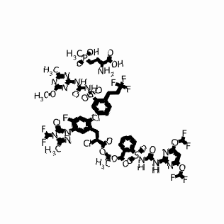 CCOC(=O)C(Cl)Cc1cc(-n2nc(C)n(C(F)F)c2=O)c(F)cc1Cl.COc1nc(C)nc(NC(=O)NS(=O)(=O)c2ccccc2CCC(F)(F)F)n1.CP(=O)(O)CCC(N)C(=O)O.O=C(Nc1nc(OC(F)F)cc(OC(F)F)n1)NS(=O)(=O)c1ccccc1C(=O)O